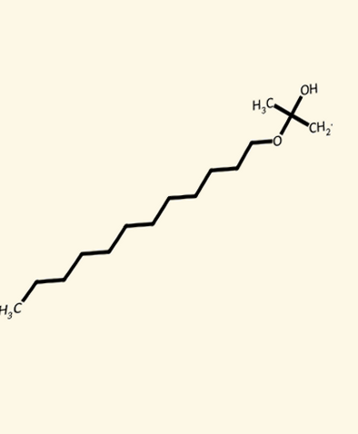 [CH2]C(C)(O)OCCCCCCCCCCCC